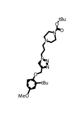 COc1ccc(OCc2cn(CCCN3CCN(C(=O)OC(C)(C)C)CC3)nn2)c(C(C)(C)C)c1